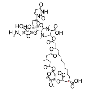 CCCCCCCCCCCC(CC(=O)OC1CN(C)C(C(O[C@H]2C[C@H](O)[C@@H](CN)O2)[C@H]2O[C@@H](n3ccc(=O)[nH]c3=O)C[C@@H]2O)C(=O)N(C)C1C(=O)O)OC(=O)CC(C)CC(=O)O[C@@H]1O[C@@H](C)[C@H](OC)[C@@H](OC(=O)CCC(=O)O)[C@H]1OC